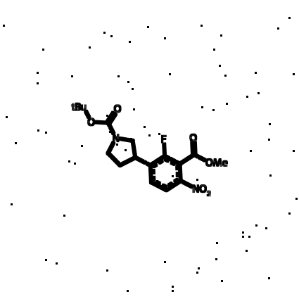 COC(=O)c1c([N+](=O)[O-])ccc(C2CCN(C(=O)OC(C)(C)C)C2)c1F